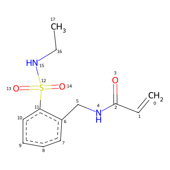 C=CC(=O)NCc1ccccc1S(=O)(=O)NCC